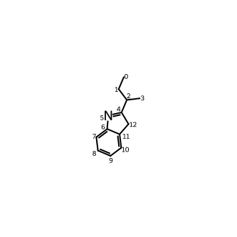 CCC(C)C1=Nc2ccccc2C1